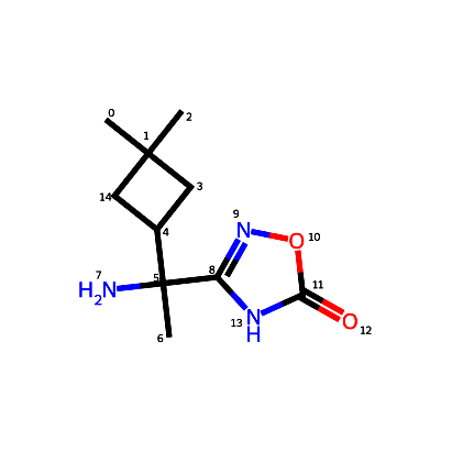 CC1(C)CC(C(C)(N)c2noc(=O)[nH]2)C1